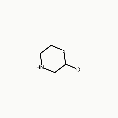 [O]C1CNCCS1